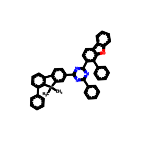 C[Si]1(C)c2cc(-c3nc(-c4ccccc4)nc(-c4ccc5c(oc6ccccc65)c4-c4ccccc4)n3)ccc2-c2cccc(-c3ccccc3)c21